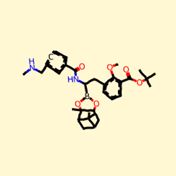 CNCc1cccc(C(=O)NC(Cc2cccc(C(=O)OC(C)(C)C)c2OC)B2OC3CC4CC(C4(C)C)C3(C)O2)c1